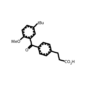 COc1ccc(C(C)(C)C)cc1C(=O)c1ccc(CCC(=O)O)cc1